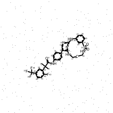 CC(C)(C(=O)Nc1ccc(-c2cnc3nc2NCCCNS(=O)(=O)c2cccc(c2)N3)cc1)c1cc(C(F)(F)F)ccc1F